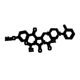 CCC(=O)n1c(CN2CCN(c3ccccc3C)CC2)c(C(=O)c2ccc(OC)cc2)n(C(=O)CC)c1=O